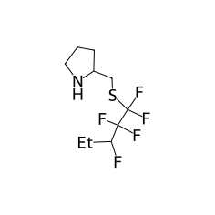 CCC(F)C(F)(F)C(F)(F)SCC1CCCN1